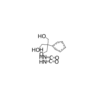 N=C=O.N=C=O.OCC(CO)(CO)c1ccccc1